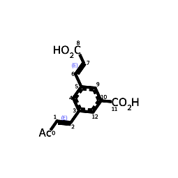 CC(=O)/C=C/c1cc(/C=C/C(=O)O)cc(C(=O)O)c1